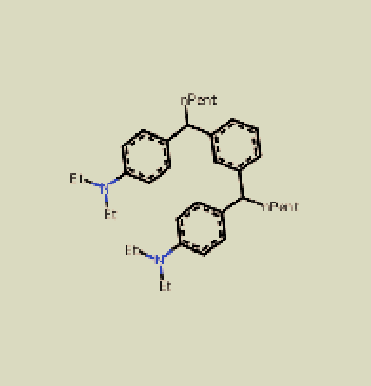 CCCCCC(c1ccc(N(CC)CC)cc1)c1cccc(C(CCCCC)c2ccc(N(CC)CC)cc2)c1